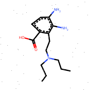 CCCN(CCC)CCc1c(C(=O)O)ccc(N)c1N